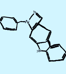 c1ccc(-n2ncc3cc4c(cc32)[nH]c2ccccc24)cc1